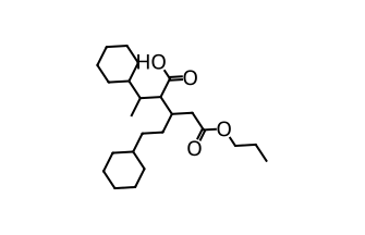 CCCOC(=O)CC(CCC1CCCCC1)C(C(=O)O)C(C)C1CCCCC1